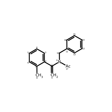 C=C(c1ccccc1C)N(Cc1ccccc1)C(C)=O